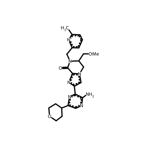 COCC1Cn2cc(-c3nc(C4CCOCC4)cnc3N)nc2C(=O)N1Cc1cccc(C)n1